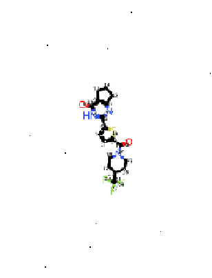 O=C(c1ccc(-c2nc3c(c(=O)[nH]2)CCC3)s1)N1CCC(C(F)(F)F)CC1